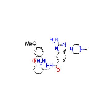 COc1ccc(N)c(Oc2cccc(CNC(=O)c3ccc4c(N5CCN(C)CC5)nc(N)nc4c3)c2)c1